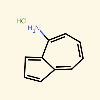 Cl.Nc1ccccc2cccc1-2